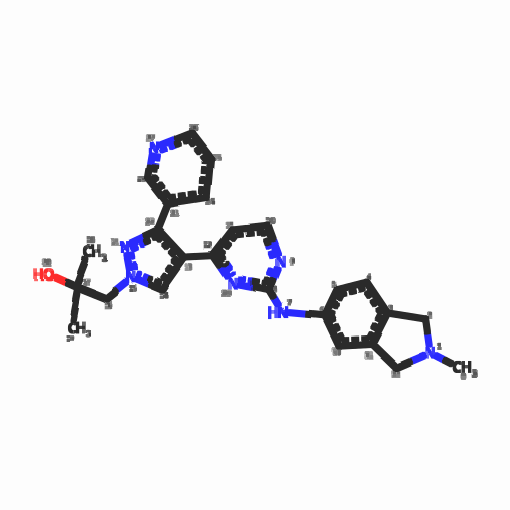 CN1Cc2ccc(Nc3nccc(-c4cn(CC(C)(C)O)nc4-c4cccnc4)n3)cc2C1